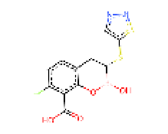 O=C(O)c1c(F)ccc2c1OB(O)[C@@H](Sc1cnns1)C2